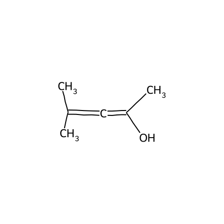 CC(C)=C=C(C)O